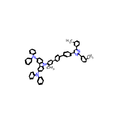 Cc1cccc(-c2cc(-c3ccc(-c4ccc(-c5ccc(-n6c7ccc(N(c8ccccc8)c8ccccc8)cc7c7cc(N(c8ccccc8)c8ccccc8)ccc76)c(C)c5)cc4)cc3)nc(-c3cccc(C)c3)n2)c1